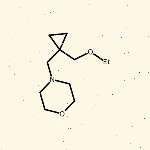 CCOCC1(CN2CCOCC2)CC1